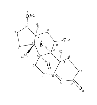 CC(=O)OC1CC[C@H]2[C@@H]3CCC4=CC(=O)CC[C@]4(C)[C@]3(Br)C(F)C[C@]12C